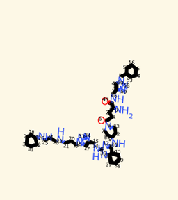 NC(CCC(=O)N1CCC(Nc2nc(NCc3cn(CCCNCCCNC4CCCCC4)nn3)nc3ccccc23)CC1)C(=O)NCc1cn(Cc2ccccc2)nn1